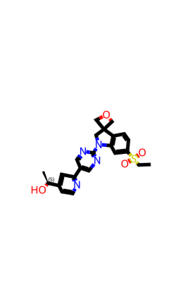 CCS(=O)(=O)c1ccc2c(c1)N(c1ncc(-c3cc([C@H](C)O)ccn3)cn1)CC21COC1